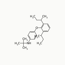 CCC(C)c1cccc(C(C)CC)c1Oc1ccc(NC(C)(C)C)cc1